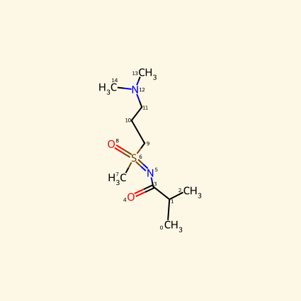 CC(C)C(=O)N=S(C)(=O)CCCN(C)C